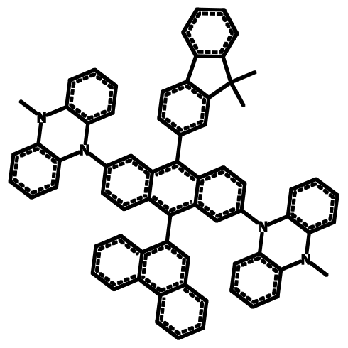 CN1c2ccccc2N(c2ccc3c(-c4cc5ccccc5c5ccccc45)c4cc(N5c6ccccc6N(C)c6ccccc65)ccc4c(-c4ccc5c(c4)C(C)(C)c4ccccc4-5)c3c2)c2ccccc21